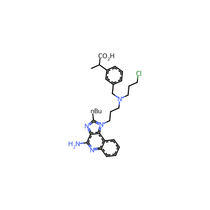 CCCCc1nc2c(N)nc3ccccc3c2n1CCCN(CCCCl)Cc1cccc(C(C)C(=O)O)c1